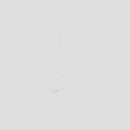 COCOC1CC2CC1C1(CC3CCC1C3)C2